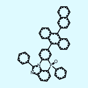 O=P1(c2ccccc2)c2cc(-c3c4ccccc4c(-c4ccc5ccccc5c4)c4ccccc34)ccc2-n2c(-c3ccccc3)nc3cccc1c32